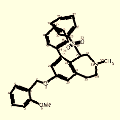 COc1ccccc1COc1cc2c(c(-c3ccccc3)c1)C(S(=O)(=O)c1ccccc1)CN(C)CC2